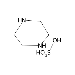 C1CNCCN1.O=S(=O)(O)O